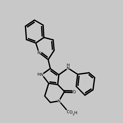 O=C(O)N1CCc2[nH]c(-c3ccc4ccccc4n3)c(Nc3ccccc3)c2C1=O